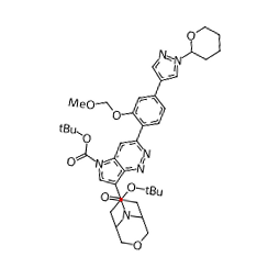 COCOc1cc(-c2cnn(C3CCCCO3)c2)ccc1-c1cc2c(nn1)c(C1CC3COCC(C1)N3C(=O)OC(C)(C)C)cn2C(=O)OC(C)(C)C